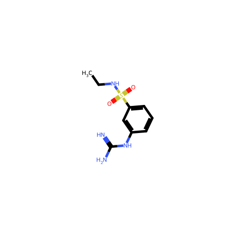 CCNS(=O)(=O)c1cccc(NC(=N)N)c1